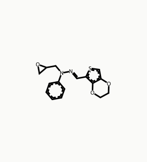 C(=N\N(CC1CO1)c1ccccc1)/c1scc2c1OCCO2